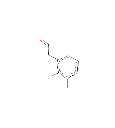 O=CCc1cccc(F)c1Cl